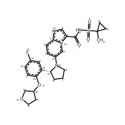 CC1(S(=O)(=O)NC(=O)c2cnc3ccc(N4CCC[C@@H]4c4cc(F)ccc4OC4CCOC4)cn23)CC1